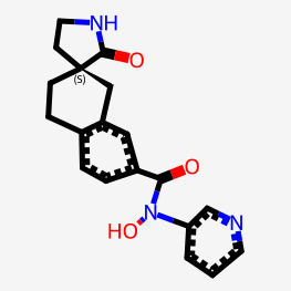 O=C(c1ccc2c(c1)C[C@]1(CCNC1=O)CC2)N(O)c1cccnc1